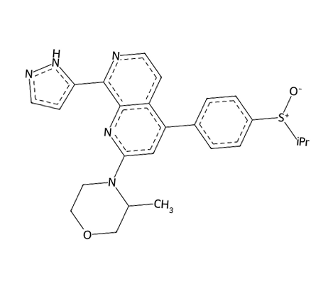 CC1COCCN1c1cc(-c2ccc([S+]([O-])C(C)C)cc2)c2ccnc(-c3ccn[nH]3)c2n1